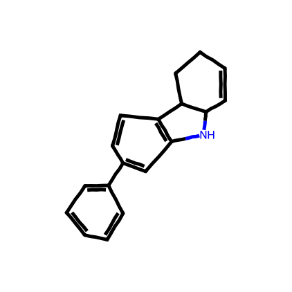 C1=CC2Nc3cc(-c4ccccc4)ccc3C2CC1